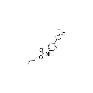 CCCCOC(=O)Nc1ccc(C2CC(F)(F)C2)nc1